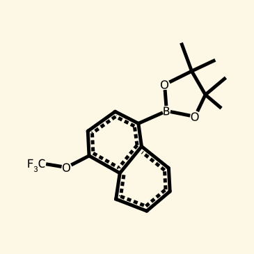 CC1(C)OB(c2ccc(OC(F)(F)F)c3ccccc23)OC1(C)C